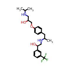 CC(C)NCC(O)COc1ccc(CC(C)NCC(O)c2cccc(C(F)(F)F)c2)cc1